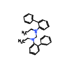 CCN(CN(CC)c1ccccc1-c1ccccc1)c1ccccc1-c1ccccc1